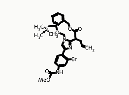 C=CCC(C(=O)OCc1ccccc1)c1nc(-c2ccc(NC(=O)OC)cc2Br)cn1COCC[Si](C)(C)C